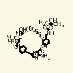 CC(C)(C)OC(=O)NCc1cccc2c1OCCCCCC[C@H](O)CC(C)(C)S(=O)(=O)c1ccc(cc1)-c1cnc(N)c(n1)C(=O)N2